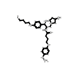 COc1ccc(OCCCC(=O)N[C@H](CN2CCC(O)C2)[C@H](O)c2ccc(OCCCCF)cc2)cc1